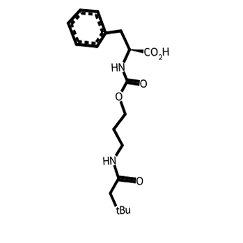 CC(C)(C)CC(=O)NCCCOC(=O)N[C@@H](Cc1ccccc1)C(=O)O